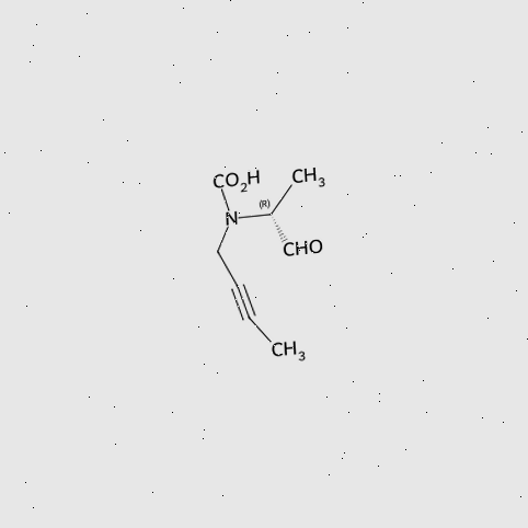 CC#CCN(C(=O)O)[C@H](C)C=O